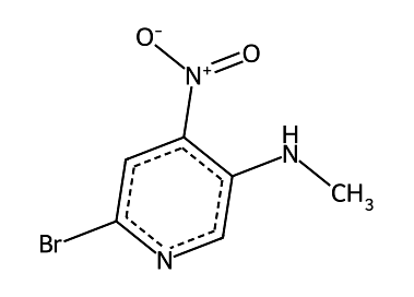 CNc1cnc(Br)cc1[N+](=O)[O-]